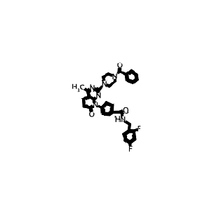 Cc1nc(N2CCN(C(=O)c3ccccc3)CC2)nc2c1ccc(=O)n2-c1ccc(C(=O)NCc2ccc(F)cc2F)cc1